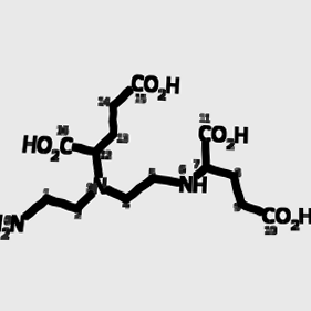 NCCN(CCNC(CCC(=O)O)C(=O)O)C(CCC(=O)O)C(=O)O